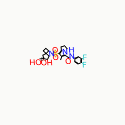 Cc1c(S(=O)(=O)N2C3CCC34C[C@@](O)(CO)CC24)c2n(c1C(=O)Nc1ccc(F)c(F)c1)CCC2